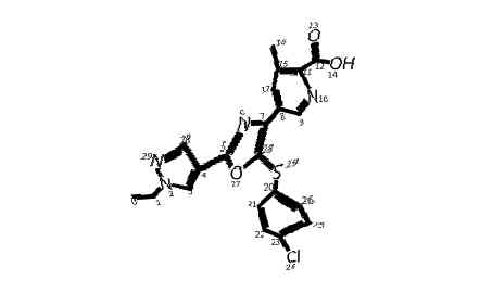 CCn1cc(-c2nc(-c3cnc(C(=O)O)c(C)c3)c(Sc3ccc(Cl)cc3)o2)cn1